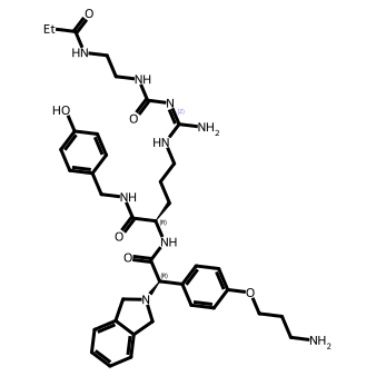 CCC(=O)NCCNC(=O)/N=C(/N)NCCC[C@@H](NC(=O)[C@@H](c1ccc(OCCCN)cc1)N1Cc2ccccc2C1)C(=O)NCc1ccc(O)cc1